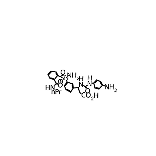 CCCNC(=O)c1ccccc1S(=O)(=O)N(N)c1cccc(C(CC(=O)O)NC(=O)Nc2ccc(N)cc2)c1